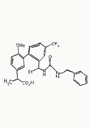 CCC(NC(=O)NCc1ccccc1)c1cc(C(F)(F)F)ccc1-c1cc(C(C)C(=O)O)ccc1OC